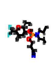 CCCN(CCC)P(OCCC#N)O[C@H]1C[C@H](C)C(C(F)F)O[C@@H]1CC